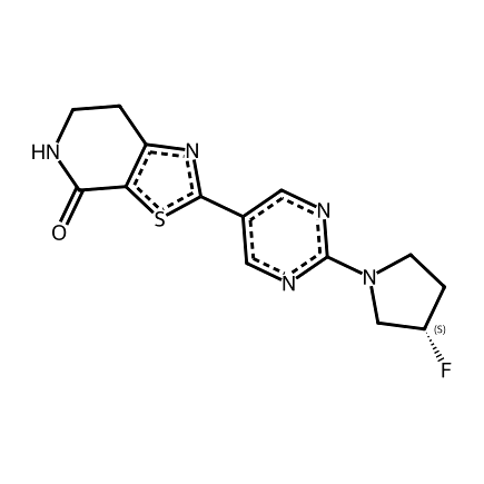 O=C1NCCc2nc(-c3cnc(N4CC[C@H](F)C4)nc3)sc21